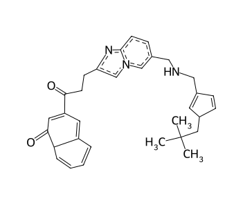 CC(C)(C)CC1C=CC(CNCc2ccc3nc(CCC(=O)C4=CC(=O)C5C=CC=CC5=C4)cn3c2)=C1